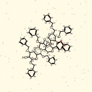 OC1C(OCc2ccccc2)[C@H](O[C@@H]2OC3COC(c4ccccc4)O[C@H]3C(O[C@@H]3OC(COCc4ccccc4)[C@H](OCc4ccccc4)C(OCc4ccccc4)C3O)C2OCc2ccccc2)C(COCc2ccccc2)O[C@H]1OCc1ccccc1